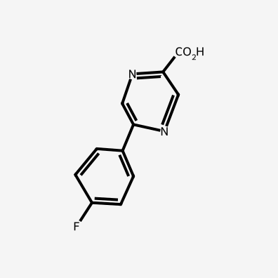 O=C(O)c1cnc(-c2ccc(F)cc2)cn1